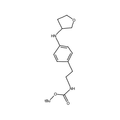 CC(C)(C)OC(=O)NCCc1ccc(NC2CCOC2)cc1